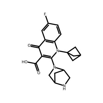 O=C(O)c1c(N2CC3CC2CN3)n(C23CC(C2)C3)c2ccc(F)cc2c1=O